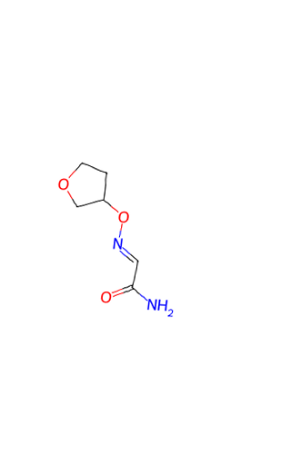 NC(=O)C=NOC1CCOC1